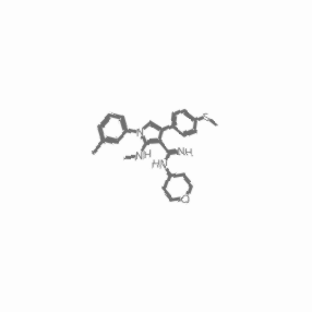 CNc1c(C(=N)NC2CCOCC2)c(-c2ccc(SC)cc2)cn1-c1cccc(C)c1